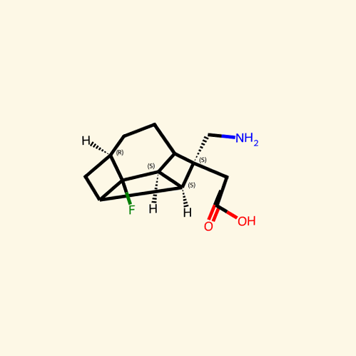 NC[C@@]1(CC(=O)O)C2CC[C@@H]3CC4[C@H]1[C@H]2C43F